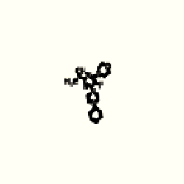 CN(C)c1nc(N2CCOCC2)c(F)c(N2CCN(c3ccccc3)CC2)n1